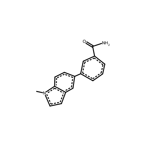 Cn1ccc2cc(-c3cccc(C(N)=O)c3)ccc21